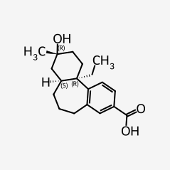 CC[C@@]12CC[C@@](C)(O)C[C@@H]1CCCc1cc(C(=O)O)ccc12